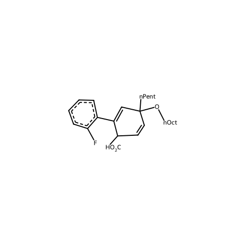 CCCCCCCCOC1(CCCCC)C=CC(C(=O)O)C(c2ccccc2F)=C1